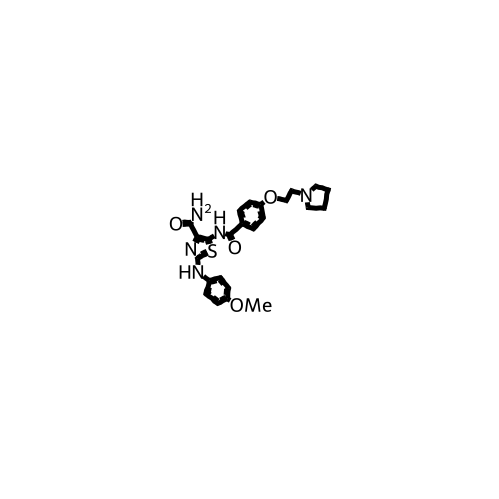 COc1ccc(Nc2nc(C(N)=O)c(NC(=O)c3ccc(OCCN4CCCC4)cc3)s2)cc1